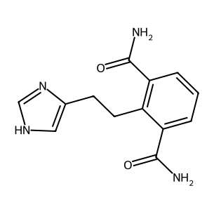 NC(=O)c1cccc(C(N)=O)c1CCc1c[nH]cn1